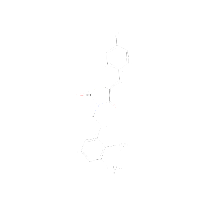 CCc1ccc(/C=C2\SC(=O)N(CCc3cccc(OC)c3OC)C2=O)cc1